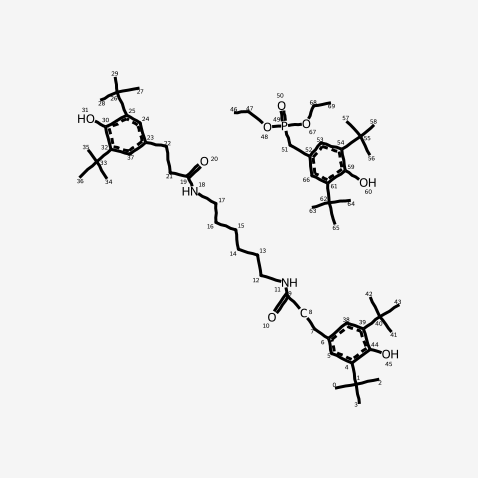 CC(C)(C)c1cc(CCC(=O)NCCCCCCNC(=O)CCc2cc(C(C)(C)C)c(O)c(C(C)(C)C)c2)cc(C(C)(C)C)c1O.CCOP(=O)(Cc1cc(C(C)(C)C)c(O)c(C(C)(C)C)c1)OCC